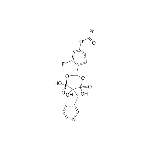 CC(C)C(=O)Oc1ccc(C2OP(=O)(O)C(O)(Cc3cccnc3)P(=O)(O)O2)c(F)c1